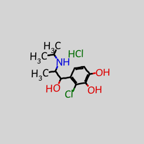 CC(C)NC(C)C(O)c1ccc(O)c(O)c1Cl.Cl